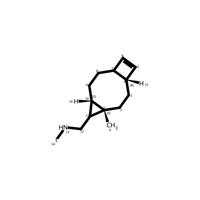 C[C@]12CC[C@H]3C=CC3CC[C@H]1C2CNI